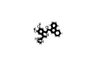 COc1cc2c(-c3nnn[nH]3)cnc(C(=O)c3cc4c(c5ccccc35)CCCC4)c2cc1OC